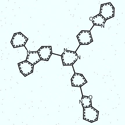 c1ccc(-n2c3ccccc3c3cc(-c4cc(-c5ccc(-c6nc7ccccc7o6)cc5)nc(-c5ccc(-c6nc7ccccc7o6)cc5)n4)ccc32)cc1